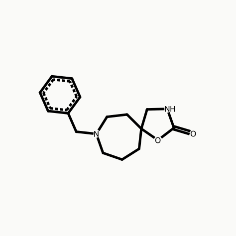 O=C1NCC2(CCCN(Cc3ccccc3)CC2)O1